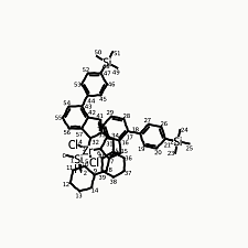 C[SiH](C)[Zr]([Cl])([Cl])([CH]1C(CC2CCCCC2)=Cc2c(-c3ccc([Si](C)(C)C)cc3)cccc21)[CH]1C(CC2CCCCC2)=Cc2c(-c3ccc([Si](C)(C)C)cc3)cccc21